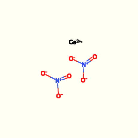 O=[N+]([O-])[O-].O=[N+]([O-])[O-].[Ga+2]